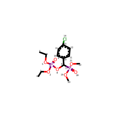 CCOP(=O)(OCC)OC(c1ccc(Cl)cc1)P(=O)(OC)OC